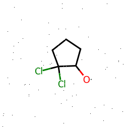 [O]C1CCCC1(Cl)Cl